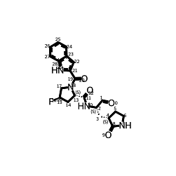 O=C[C@H](C[C@@H]1CCNC1=O)NC(=O)[C@@H]1C[C@@H](F)CN1C(=O)c1cc2ccccc2[nH]1